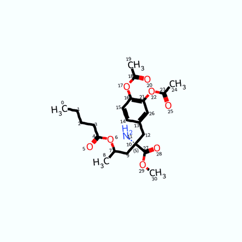 CCCCC(=O)OC(C)C[C@@](N)(Cc1ccc(OC(C)=O)c(OC(C)=O)c1)C(=O)OC